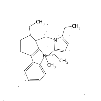 CCc1ccc(CC)n1CC1c2c(c3ccccc3n2CC)CCC1CC